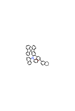 c1ccc(N(c2cc3c(cc2-c2ccc(-c4ccc5c(c4)CCCC5)cc2)-c2ccccc2C32c3ccccc3-c3ccccc32)c2cccc3ccccc23)cc1